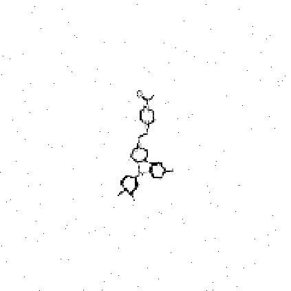 CC(=O)N1CCN(CCN2CCC3C(C2)c2cc(C)ccc2N3c2ccc(C)c(C)c2)CC1